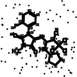 CN1C(=O)/C(=N\C(NC2CCCC2)C(Cl)C(Cl)(Cl)Cl)N(c2ccccc2F)C1=O